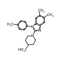 Cc1ccc(-n2c(N3CCC(C(=O)O)CC3)nc3cc(C)c(C)cc32)cc1